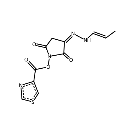 CC=CNN=C1CC(=O)N(OC(=O)c2cscn2)C1=O